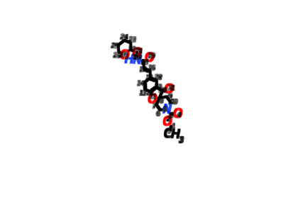 CCOC(=O)N1CCC2(CC1)Oc1ccc(/C=C/C(=O)NOC3CCCCO3)cc1C2=O